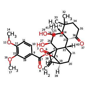 C=C1C(=O)[C@]23[C@H](OC(=O)c4ccc(OC)c(OC)c4)[C@H]1CC[C@H]2[C@@]12CO[C@]3(O)[C@@H](O)[C@@H]1C(C)(C)CCC2=O